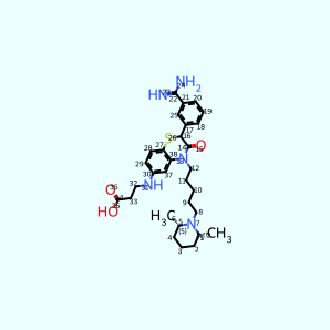 C[C@@H]1CCC[C@H](C)N1CCCCCN1C(=O)C(c2cccc(C(=N)N)c2)Sc2ccc(NCCC(=O)O)cc21